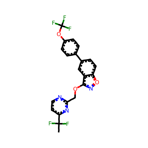 CC(F)(F)c1ccnc(COc2noc3ccc(-c4ccc(OC(F)(F)F)cc4)cc23)n1